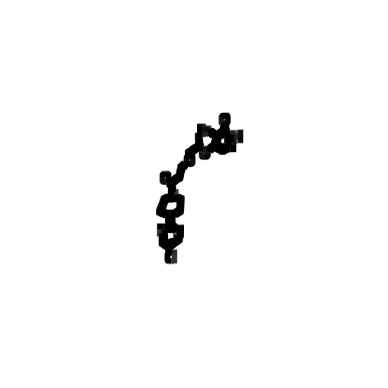 CC(COCCC(=O)N1CCN(c2ncc(Cl)cn2)CC1)Oc1cn[nH]c(=O)c1Br